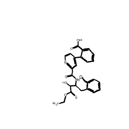 CCOC(=O)C(O)C(Cc1ccccc1Cl)NC(=O)c1cc(-c2ccccc2C(=O)O)ccn1